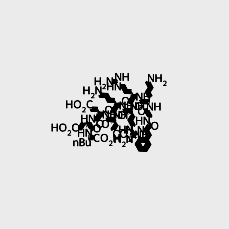 CCCC[C@H](NC(=O)[C@H](CCC(=O)O)NC(=O)[C@H](CCC(=O)O)NC(=O)[C@H](CCC(=O)O)NC(=O)[C@H](CCCCN)NC(=O)[C@H](CCCNC(=N)N)NC(=O)[C@H](CCCNC(=N)N)NC(=O)[C@H](CCCCN)NC(=O)CNC(=O)[C@@H](N)Cc1ccccc1)C(=O)O